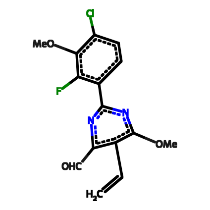 C=Cc1c(C=O)nc(-c2ccc(Cl)c(OC)c2F)nc1OC